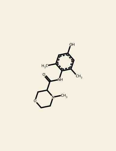 Cc1cc(O)cc(C)c1NC(=O)C1COCCN1C